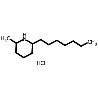 CCCCCCCC1CCCC(C)N1.Cl